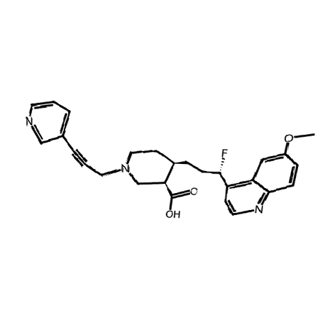 COc1ccc2nccc([C@@H](F)CC[C@@H]3CCN(CC#Cc4cccnc4)C[C@@H]3C(=O)O)c2c1